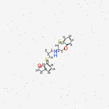 CC(CNC1COc2ccccc2SC1)CSc1cccc2c1OCC2